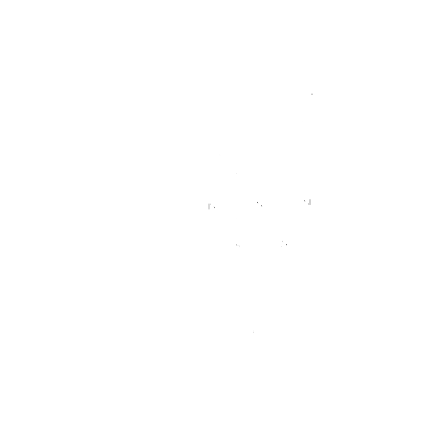 O=[C]c1ccc(Nc2nc(NC3(c4ccc(Cl)cc4)CC3)nc(OCC(F)(F)F)n2)cc1